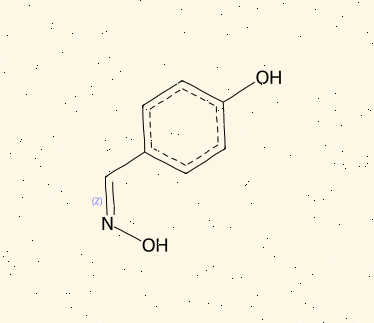 O/N=C\c1ccc(O)cc1